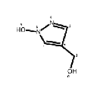 OCc1cnn(O)c1